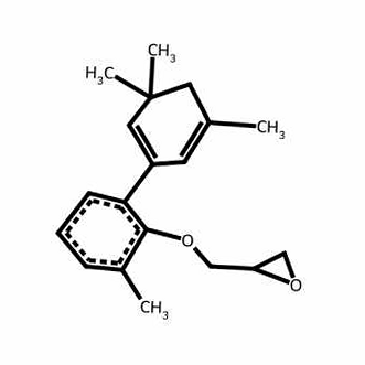 CC1=CC(c2cccc(C)c2OCC2CO2)=CC(C)(C)C1